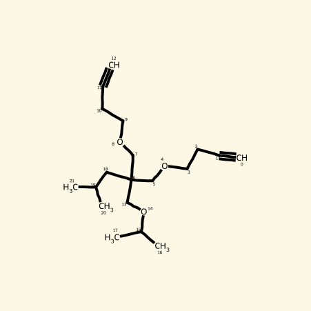 C#CCCOCC(COCCC#C)(COC(C)C)CC(C)C